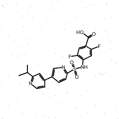 CC(C)c1cc(-c2ccc(S(=O)(=O)Nc3cc(F)c(C(=O)O)cc3F)nc2)ccn1